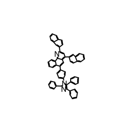 c1ccc(-c2nc(-c3ccccc3)n(-c3ccc(-c4cc5c(-c6ccc7ccccc7c6)cc(-c6ccc7ccccc7c6)nc5c5ccccc45)cc3)c2-c2ccccc2)cc1